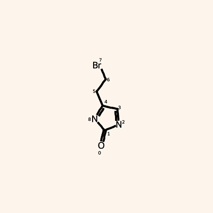 O=C1N=CC(CCBr)=N1